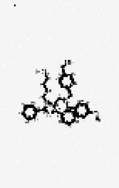 COc1ccc(CN(Cc2ccc(CO)cc2)Cc2c(-c3ccccc3)nc(-c3ccccc3)n2CCCCO)cc1